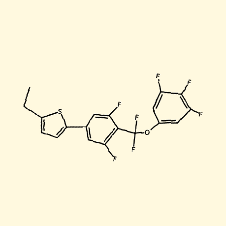 CCc1ccc(-c2cc(F)c(C(F)(F)Oc3cc(F)c(F)c(F)c3)c(F)c2)s1